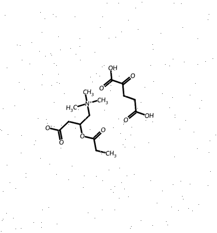 CCC(=O)OC(CC(=O)[O-])C[N+](C)(C)C.O=C(O)CCC(=O)C(=O)O